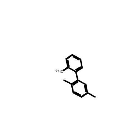 Cc1ccc(C)c(-c2ccccc2[C]=O)c1